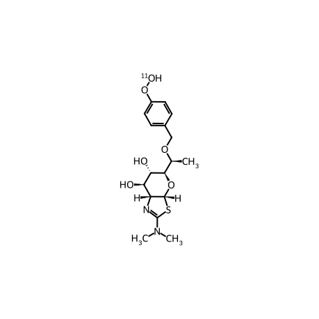 C[C@H](OCc1ccc(O[11OH])cc1)[C@H]1O[C@@H]2SC(N(C)C)=N[C@@H]2[C@@H](O)[C@@H]1O